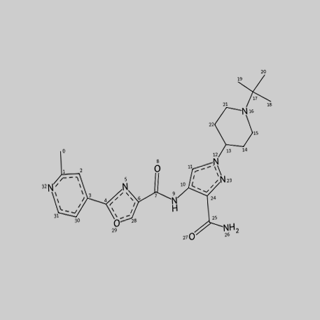 Cc1cc(-c2nc(C(=O)Nc3cn(C4CCN(C(C)(C)C)CC4)nc3C(N)=O)co2)ccn1